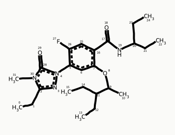 CCc1nn(-c2cc(OC(C)C(CC)CC)c(C(=O)NC(CC)CC)cc2F)c(=O)n1C